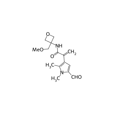 C=C(C(=O)NC1(COC)COC1)c1cc(C=O)n(C)c1C